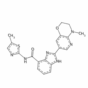 Cc1cnc(NC(=O)c2cccc3[nH]c(-c4cnc5c(c4)OCCN5C)nc23)s1